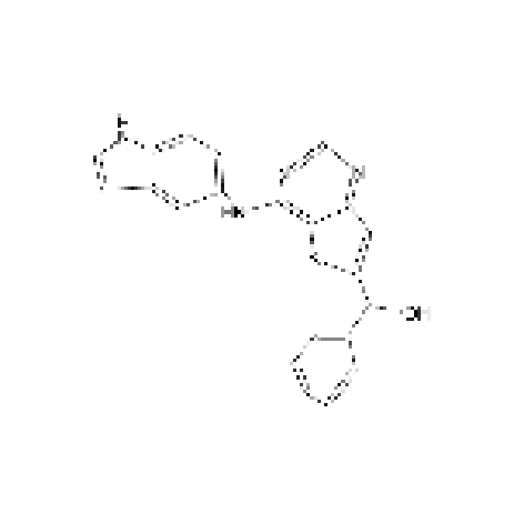 OC(c1ccccc1)c1cc2ncnc(Nc3ccc4[nH]ccc4c3)c2s1